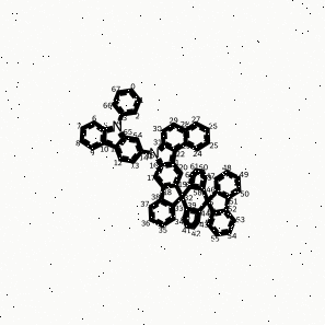 c1ccc(-n2c3ccccc3c3ccc(-n4c5cc6c(cc5c5c7ccccc7ccc54)C4(c5ccccc5-6)c5ccccc5C5(c6ccccc6-c6ccccc65)c5ccccc54)cc32)cc1